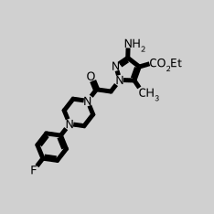 CCOC(=O)c1c(N)nn(CC(=O)N2CCN(c3ccc(F)cc3)CC2)c1C